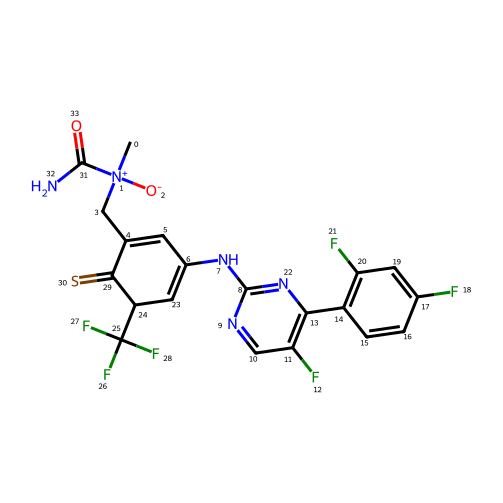 C[N+]([O-])(CC1=CC(Nc2ncc(F)c(-c3ccc(F)cc3F)n2)=CC(C(F)(F)F)C1=S)C(N)=O